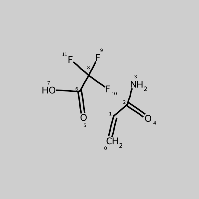 C=CC(N)=O.O=C(O)C(F)(F)F